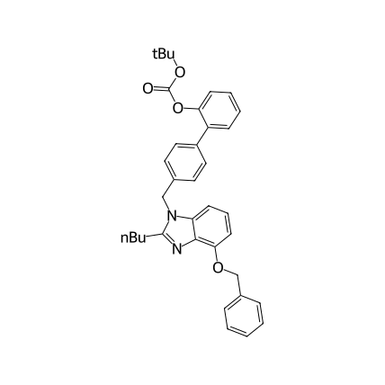 CCCCc1nc2c(OCc3ccccc3)cccc2n1Cc1ccc(-c2ccccc2OC(=O)OC(C)(C)C)cc1